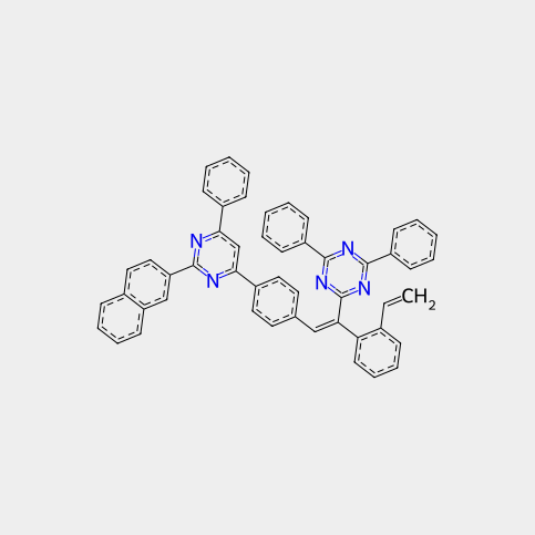 C=Cc1ccccc1/C(=C/c1ccc(-c2cc(-c3ccccc3)nc(-c3ccc4ccccc4c3)n2)cc1)c1nc(-c2ccccc2)nc(-c2ccccc2)n1